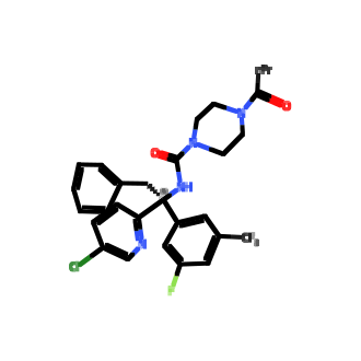 CCCC(=O)N1CCN(C(=O)N[C@@](Cc2ccccc2)(c2cc(F)cc(C(F)(F)F)c2)c2ccc(Cl)cn2)CC1